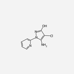 Nc1c(Cl)c(O)nn1-c1ccccn1